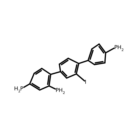 Pc1ccc(-c2ccc(-c3ccc(P)cc3P)cc2I)cc1